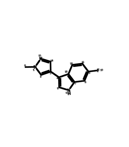 Cn1cc(-c2c[nH]c3cc(F)ccc23)cn1